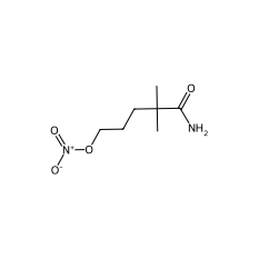 CC(C)(CCCO[N+](=O)[O-])C(N)=O